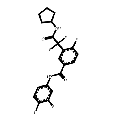 O=C(Nc1ccc(F)c(F)c1)c1ccc(F)c(C(F)(F)C(=O)NC2CCCC2)c1